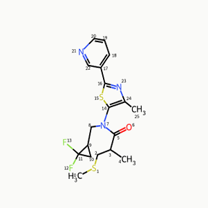 CSCC(C)C(=O)N(CC1CC1(F)F)c1sc(-c2cccnc2)nc1C